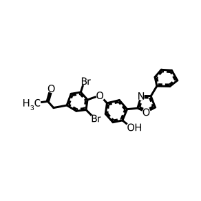 CC(=O)Cc1cc(Br)c(Oc2ccc(O)c(-c3nc(-c4ccccc4)co3)c2)c(Br)c1